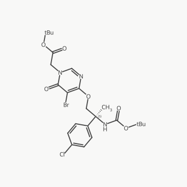 CC(C)(C)OC(=O)Cn1cnc(OC[C@@](C)(NC(=O)OC(C)(C)C)c2ccc(Cl)cc2)c(Br)c1=O